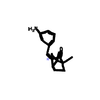 CC12CCC(/C(=C/c3cccc(N)c3)C1=O)C2(C)C